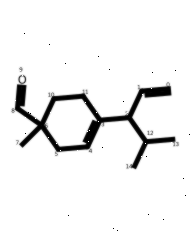 C=CC(C1=CCC(C)(C=O)CC1)C(C)C